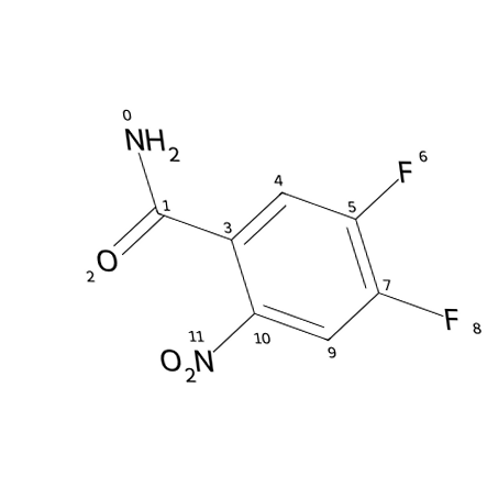 NC(=O)c1cc(F)c(F)cc1[N+](=O)[O-]